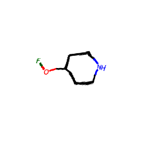 FOC1CCNCC1